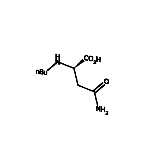 CCCCN[C@@H](CC(N)=O)C(=O)O